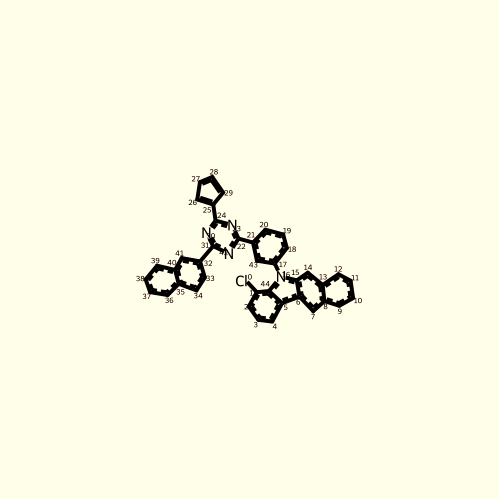 Clc1cccc2c3cc4ccccc4cc3n(-c3cccc(-c4nc(C5=CC=C=C5)nc(-c5ccc6ccccc6c5)n4)c3)c12